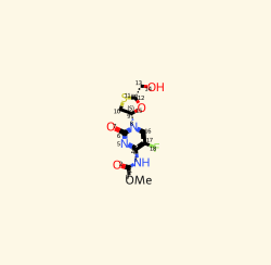 COC(=O)Nc1nc(=O)n([C@@H]2CS[C@H](CO)O2)cc1F